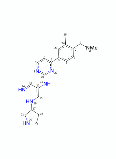 CNCc1ccc(-c2ccnc(N/C(C=N)=C/NC3CCNC3)n2)cc1C